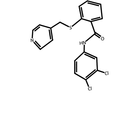 O=C(Nc1ccc(Cl)c(Cl)c1)c1ccccc1SCc1ccncc1